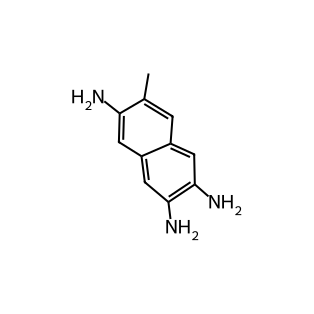 Cc1cc2cc(N)c(N)cc2cc1N